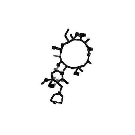 CCC1OC(=O)C(C)C(O[C@H]2C[C@@](C)(OC)[C@](O)(CN3CCCCC3)[C@H](C)O2)C(C)CC(C)(O)CC(C)CNC(C)C(O)C1(C)O